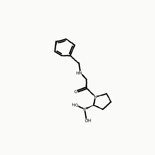 O=C(CNCc1ccccc1)N1CCC[C@H]1B(O)O